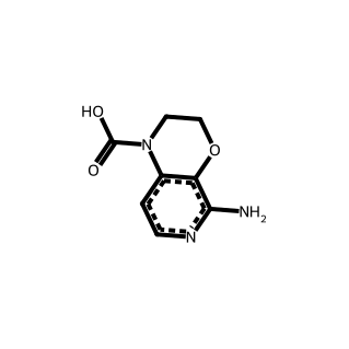 Nc1nccc2c1OCCN2C(=O)O